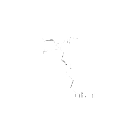 CC=C[Si](CC=NCCCCCCCCCCCC)(CCC)CCC